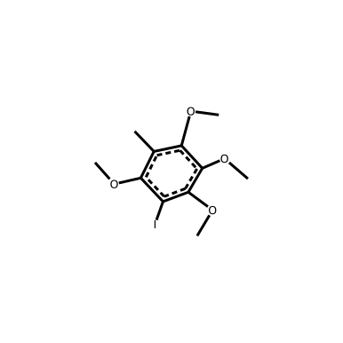 COc1c(C)c(OC)c(OC)c(OC)c1I